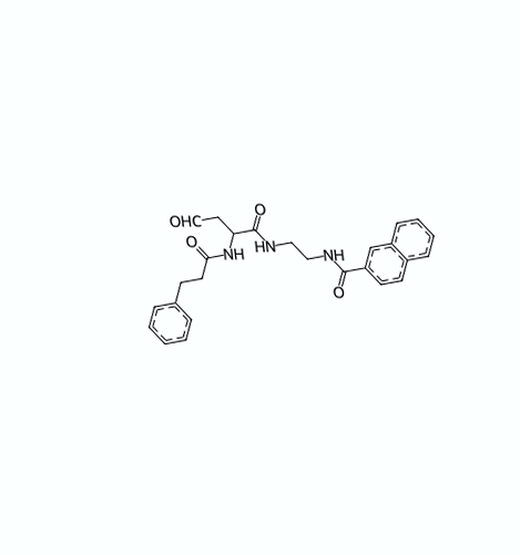 O=CCC(NC(=O)CCc1ccccc1)C(=O)NCCNC(=O)c1ccc2ccccc2c1